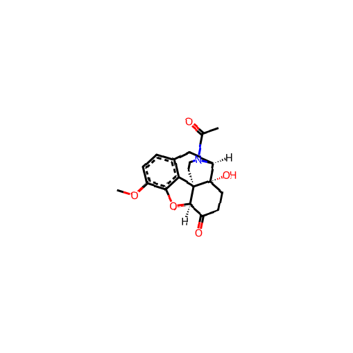 COc1ccc2c3c1O[C@@H]1C(=O)CC[C@]4(O)[C@H](C2)N(C(C)=O)CC[C@@]314